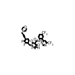 CN1N(Cc2ccc(C#CCN3CCOCC3)c(F)c2F)C(=O)C(C(=O)Nc2ccc(C(F)(F)F)cc2-c2cc(C(F)(F)F)ncn2)=C(O)C1(C)C